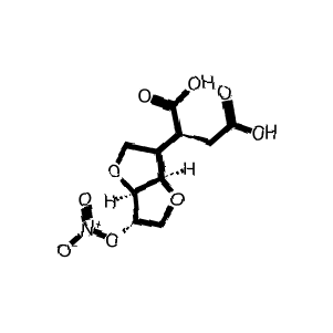 O=C(O)C[C@H](C(=O)O)C1CO[C@@H]2[C@@H](O[N+](=O)[O-])CO[C@H]12